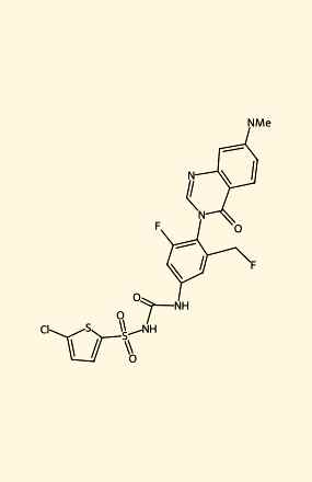 CNc1ccc2c(=O)n(-c3c(F)cc(NC(=O)NS(=O)(=O)c4ccc(Cl)s4)cc3CF)cnc2c1